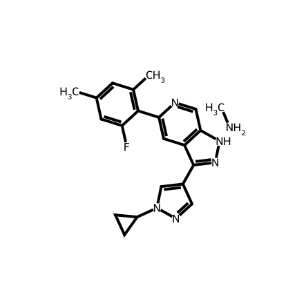 CN.Cc1cc(C)c(-c2cc3c(-c4cnn(C5CC5)c4)n[nH]c3cn2)c(F)c1